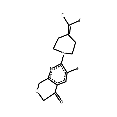 O=C1COCc2nc(N3CCC(=C(F)F)CC3)c(F)cc21